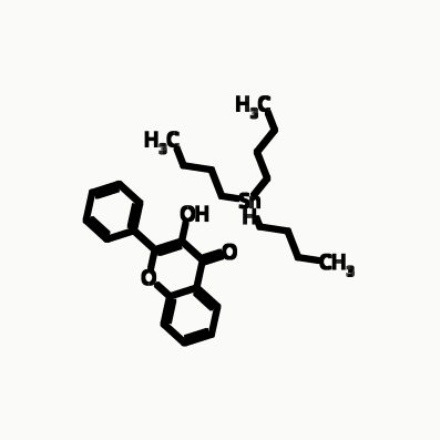 CCC[CH2][SnH]([CH2]CCC)[CH2]CCC.O=c1c(O)c(-c2ccccc2)oc2ccccc12